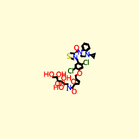 CN(C[C@H](O)[C@@H](O)[C@H](O)[C@H](O)CO)C(=O)c1ccc(COc2cc(Cl)c(CN3CSC[C@H]3C(=O)N3CCN(C4CC4)c4ccccc43)cc2Cl)o1